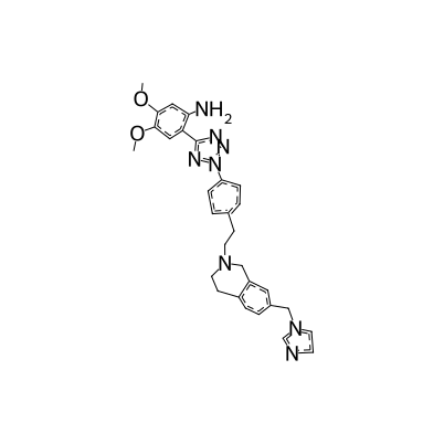 COc1cc(N)c(-c2nnn(-c3ccc(CCN4CCc5ccc(Cn6ccnc6)cc5C4)cc3)n2)cc1OC